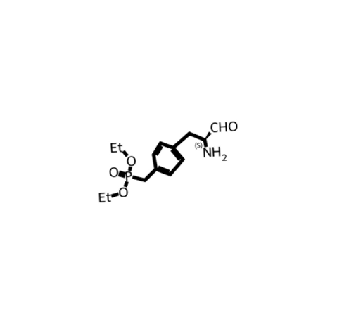 CCOP(=O)(Cc1ccc(C[C@H](N)C=O)cc1)OCC